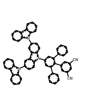 N#Cc1cc(C#N)cc(-c2c(-c3ccccc3)cc(-n3c4ccc(-n5c6ccccc6c6ccccc65)cc4c4cc(-n5c6ccccc6c6ccccc65)ccc43)cc2-c2ccccc2)c1